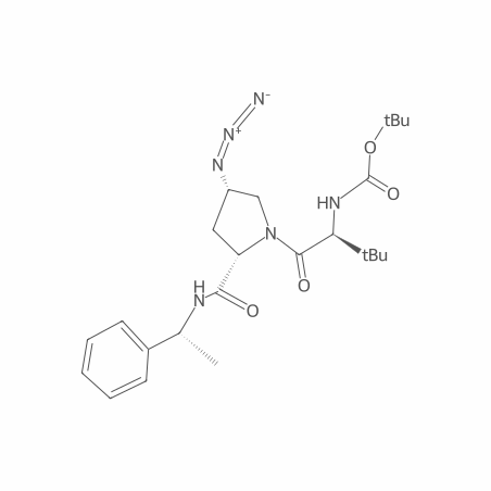 C[C@@H](NC(=O)[C@@H]1C[C@H](N=[N+]=[N-])CN1C(=O)[C@@H](NC(=O)OC(C)(C)C)C(C)(C)C)c1ccccc1